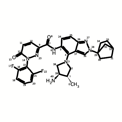 C[C@H]1CN(c2c(NC(=O)c3ccc(=O)n(-c4c(F)cccc4F)n3)ccc3nn(C45CCC(CC4)C5)cc23)C[C@@H]1N